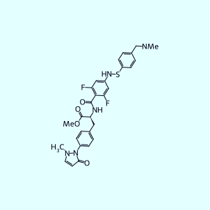 CNCc1ccc(SNc2cc(F)c(C(=O)N[C@@H](Cc3ccc(-n4c(=O)ccn4C)cc3)C(=O)OC)c(F)c2)cc1